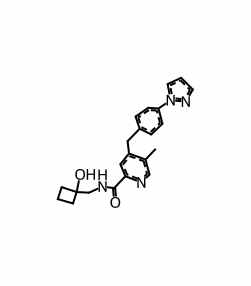 Cc1cnc(C(=O)NCC2(O)CCC2)cc1Cc1ccc(-n2cccn2)cc1